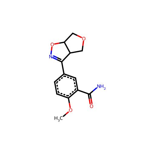 COc1ccc(C2=NOC3COCC23)cc1C(N)=O